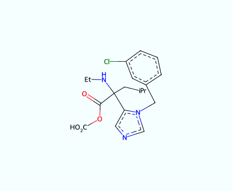 CCNC(CC(C)C)(C(=O)OC(=O)O)c1cncn1Cc1cccc(Cl)c1